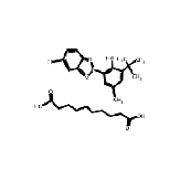 Cc1cc(-n2nc3ccc(Cl)cc3n2)c(O)c(C(C)(C)C)c1.O=C(O)CCCCCCCCC(=O)O